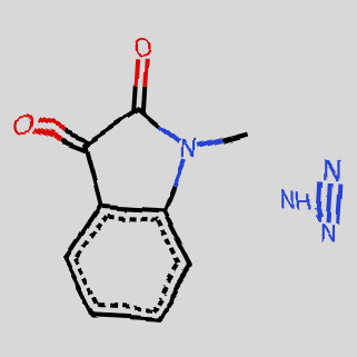 CN1C(=O)C(=O)c2ccccc21.N.N#N